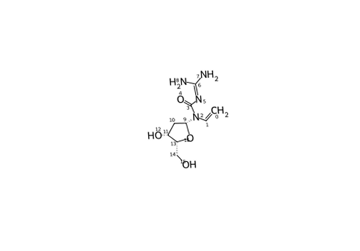 C=CN(C(=O)N=C(N)N)[C@H]1C[C@@H](O)[C@@H](CO)O1